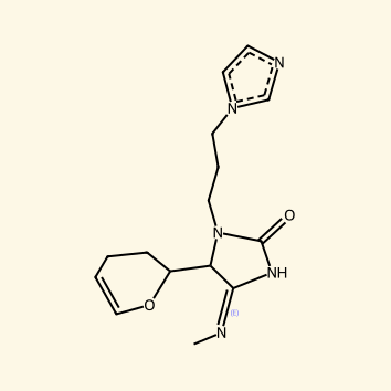 C/N=C1/NC(=O)N(CCCn2ccnc2)C1C1CCC=CO1